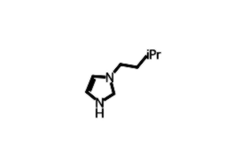 CC(C)CCN1C=CNC1